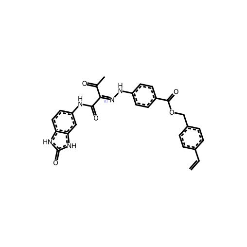 C=Cc1ccc(COC(=O)c2ccc(N/N=C(\C(C)=O)C(=O)Nc3ccc4[nH]c(=O)[nH]c4c3)cc2)cc1